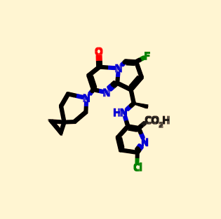 C[C@@H](Nc1ccc(Cl)nc1C(=O)O)c1cc(F)cn2c(=O)cc(N3CCC4(CC3)CC4)nc12